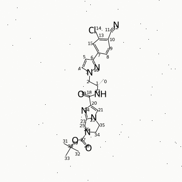 C[C@@H](Cn1ccc(-c2ccc(C#N)c(Cl)c2)n1)NC(=O)c1cn2c(n1)CN(C(=O)OC(C)(C)C)CC2